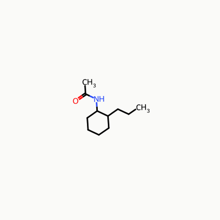 CCCC1CCCCC1NC(C)=O